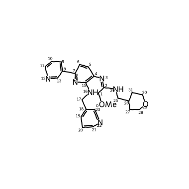 COC/C(=N\c1ccc(-c2cccnc2)nc1NCc1cccnc1)NCC1CCOCC1